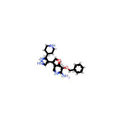 Nc1ncc2c(-c3c[nH]nc3C3CCNCC3)coc2c1OCc1[c]cccc1